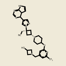 N#CC[C@]1(n2cc(C3N=CN=C4NC=CC43)cn2)C[C@H](N2CCC(Oc3cc(CN4CC(O)C4)cc(C(F)(F)F)n3)CC2)C1